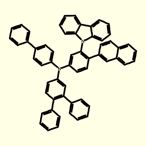 c1ccc(-c2ccc(N(c3ccc(-c4ccccc4)c(-c4ccccc4)c3)c3ccc(-c4ccc5ccccc5c4)c(-n4c5ccccc5c5ccccc54)c3)cc2)cc1